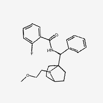 COCCN1C2CCC1(C(NC(=O)c1ccccc1F)c1ccccc1)CC2